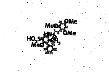 COc1cc(OC)c(C=CC(=O)Nc2cc(S(=O)(=O)O)c(OC)c(-c3ccccc3)c2C)c(OC)c1